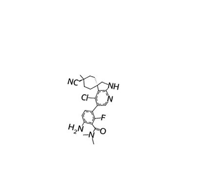 CN(C)C(=O)c1c(N)ccc(-c2cnc3c(c2Cl)[C@]2(CC[C@](C)(C#N)CC2)CN3)c1F